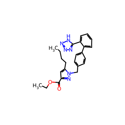 CCCCc1cc(C(=O)OCC)nn1Cc1ccc(-c2ccccc2-c2nnn[nH]2)cc1